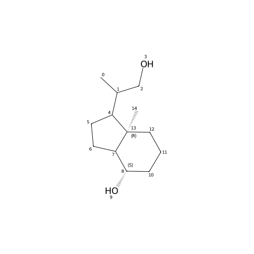 CC(CO)C1CCC2[C@@H](O)CCC[C@]12C